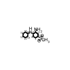 CS(=O)(=O)c1ccc(Nc2c[c]ccc2)c(N)c1